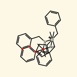 CC(C)(C)[NH][Ti]([CH3])([CH3])([CH3])([CH3])([CH2]c1ccccc1)([CH2]c1ccccc1)([C]1=CC=CC1)[SiH](Cc1ccccc1)Cc1ccccc1